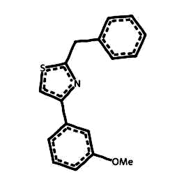 COc1cccc(-c2csc(Cc3ccccc3)n2)c1